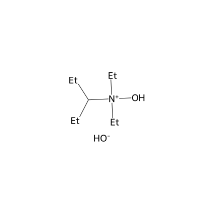 CCC(CC)[N+](O)(CC)CC.[OH-]